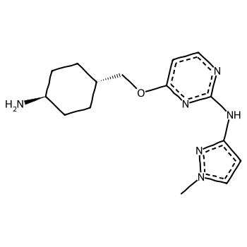 Cn1ccc(Nc2nccc(OC[C@H]3CC[C@H](N)CC3)n2)n1